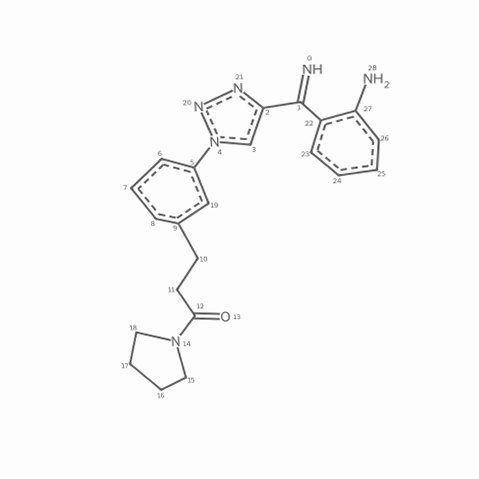 N=C(c1cn(-c2cccc(CCC(=O)N3CCCC3)c2)nn1)c1ccccc1N